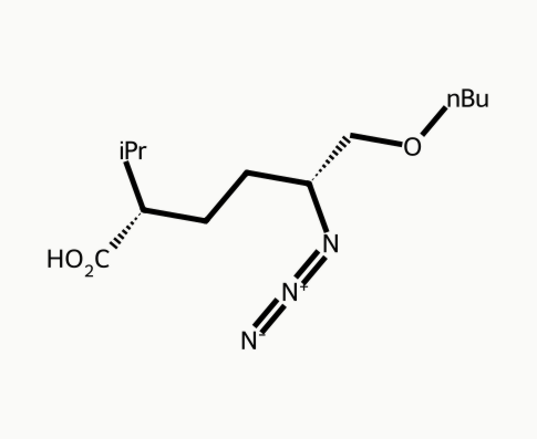 CCCCOC[C@@H](CC[C@H](C(=O)O)C(C)C)N=[N+]=[N-]